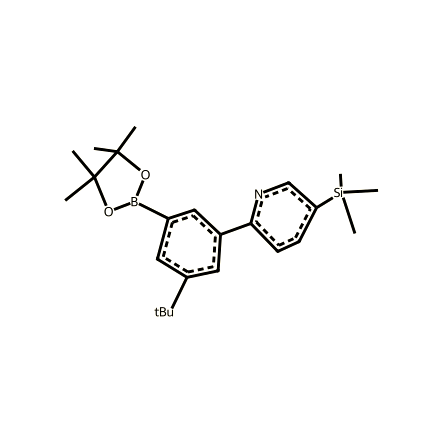 CC(C)(C)c1cc(B2OC(C)(C)C(C)(C)O2)cc(-c2ccc([Si](C)(C)C)cn2)c1